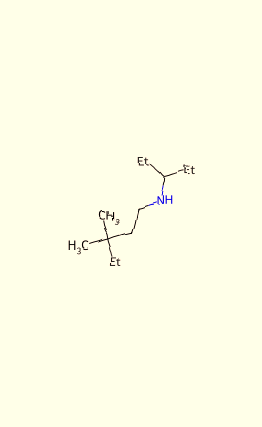 CCC(CC)NCCC(C)(C)CC